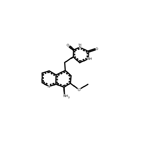 COc1cc(Cc2c[nH]c(=O)[nH]c2=O)c2cccnc2c1N